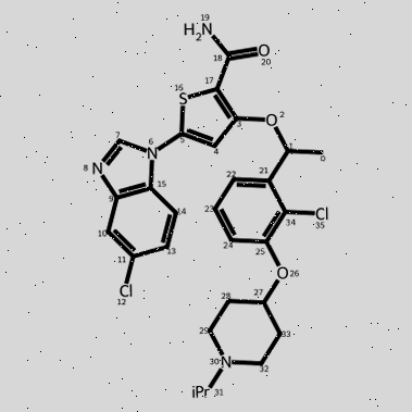 CC(Oc1cc(-n2cnc3cc(Cl)ccc32)sc1C(N)=O)c1cccc(OC2CCN(C(C)C)CC2)c1Cl